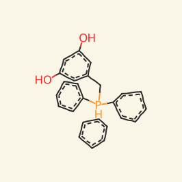 Oc1cc(O)cc(C[PH](c2ccccc2)(c2ccccc2)c2ccccc2)c1